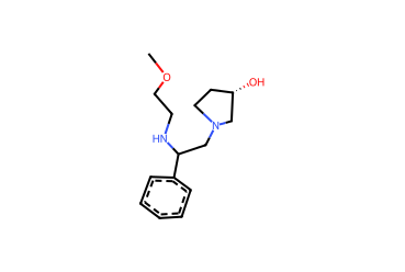 COCCNC(CN1CC[C@H](O)C1)c1ccccc1